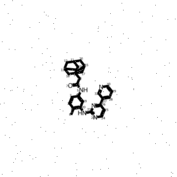 Cc1ccc(NC(=O)CC23CC4CC(CC(C4)C2)C3)cc1Nc1nccc(-c2cccnc2)n1